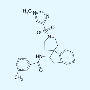 Cc1cccc(C(=O)NC2Cc3ccccc3C23CCN(S(=O)(=O)c2cn(C)cn2)CC3)c1